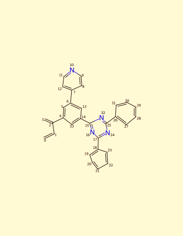 C=CC(=C)c1cc(-c2ccncc2)cc(-c2nc(-c3ccccc3)nc(-c3ccccc3)n2)c1